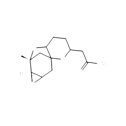 COC(=O)CC1CCC2O[C@@H]3CC2(C[C@H]2O[C@@H]32)O1